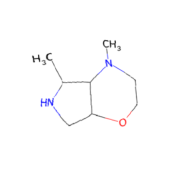 CC1NCC2OCCN(C)C12